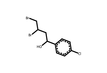 OC(CC(Br)CBr)c1ccc(Cl)cc1